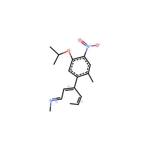 C\C=C/C(=C\C=N\C)c1cc(OC(C)C)c([N+](=O)[O-])cc1C